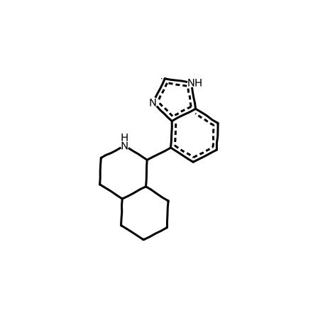 [c]1nc2c(C3NCCC4CCCCC43)cccc2[nH]1